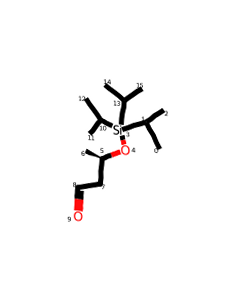 CC(C)[Si](O[C@H](C)CC=O)(C(C)C)C(C)C